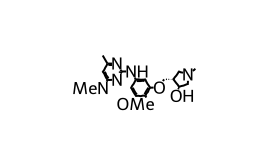 CNc1cc(C)nc(Nc2ccc(OC)c(OC[C@@H]3CN(C)C[C@H]3O)c2)n1